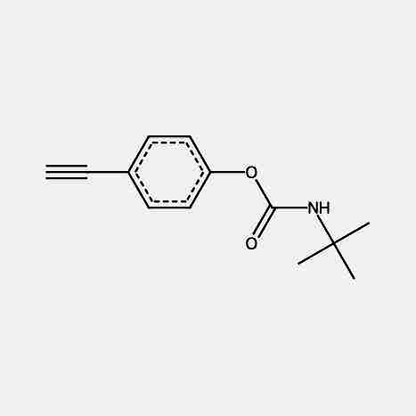 C#Cc1ccc(OC(=O)NC(C)(C)C)cc1